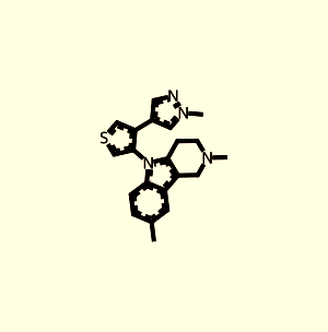 Cc1ccc2c(c1)c1c(n2-c2cscc2-c2cnn(C)c2)CCN(C)C1